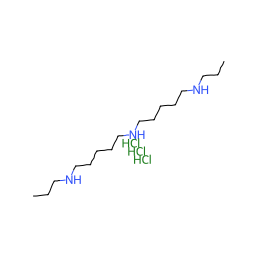 CCCNCCCCCNCCCCCNCCC.Cl.Cl.Cl